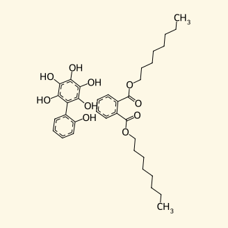 CCCCCCCCOC(=O)c1ccccc1C(=O)OCCCCCCCC.Oc1ccccc1-c1c(O)c(O)c(O)c(O)c1O